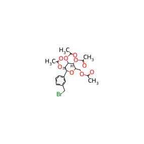 CC(=O)OCC1OC(c2cccc(CBr)c2)[C@H](OC(C)=O)C(OC(C)=O)[C@@H]1OC(C)=O